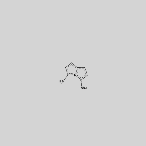 CNn1ccc2ccc(N)n21